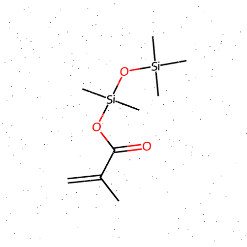 C=C(C)C(=O)O[Si](C)(C)O[Si](C)(C)C